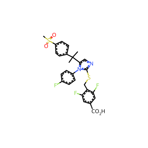 CC(C)(c1ccc(S(C)(=O)=O)cc1)c1cnc(SCc2c(F)cc(C(=O)O)cc2F)n1-c1ccc(F)cc1